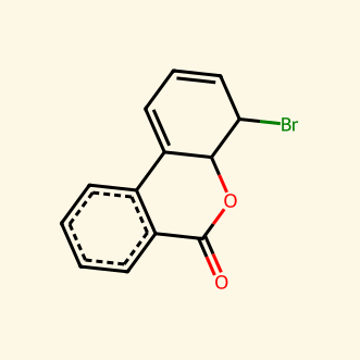 O=C1OC2C(=CC=CC2Br)c2ccccc21